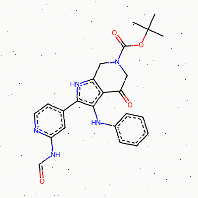 CC(C)(C)OC(=O)N1CC(=O)c2c([nH]c(-c3ccnc(NC=O)c3)c2Nc2ccccc2)C1